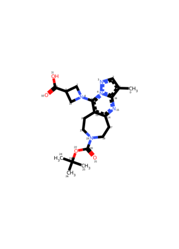 Cc1cnn2c(N3CC(C(=O)O)C3)c3c(nc12)CCN(C(=O)OC(C)(C)C)CC3